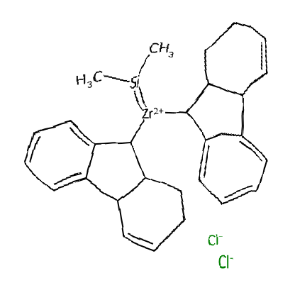 C[Si](C)=[Zr+2]([CH]1c2ccccc2C2C=CCCC21)[CH]1c2ccccc2C2C=CCCC21.[Cl-].[Cl-]